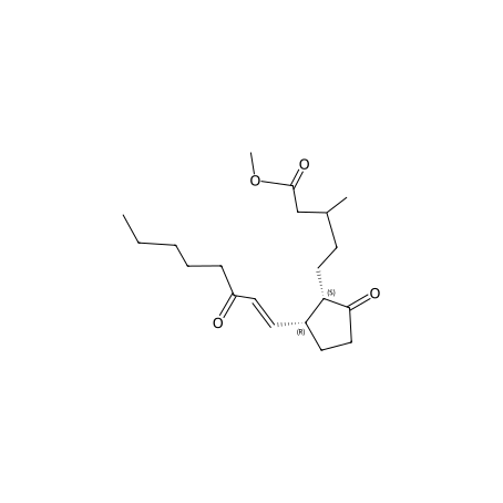 CCCCCC(=O)C=C[C@H]1CCC(=O)[C@H]1CCC(C)CC(=O)OC